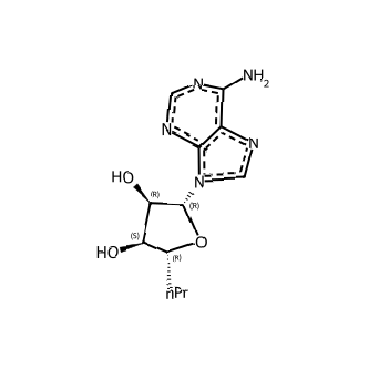 CCC[C@H]1O[C@@H](n2cnc3c(N)ncnc32)[C@H](O)[C@@H]1O